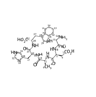 C[C@H](NC(=O)[C@H](CC(=O)O)NC(=O)CN)C(=O)N[C@@H](Cc1c[nH]cn1)C(=O)N[C@@H](Cc1c[nH]c2ccccc12)C(=O)O